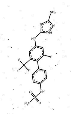 CS(=O)(=O)Nc1ccc(-c2c(F)cc(Nc3nc(N)n[nH]3)cc2C(F)(F)F)cc1